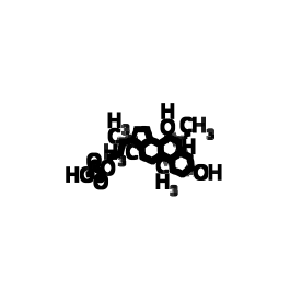 CC[C@H]1[C@@H](O)C2C3CC[C@H]([C@H](C)CCOS(=O)(=O)O)C3(C)CCC2[C@@]2(C)CC[C@H](O)C[C@@H]12